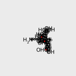 CC1O[C@@H](OC2C(O)[C@@H](NC(=O)CCCCCN)C(CO)O[C@H]2OC(=O)[C@]23CCC(C)(C)CC2C2=CCC4C5(C)CC[C@H](O)C(C)(C=O)[C@H]5CCC4(C)C2(C)CC3O)C(CO)C(O)[C@H]1O[C@@H]1OC[C@@H](O)C(O)C1O